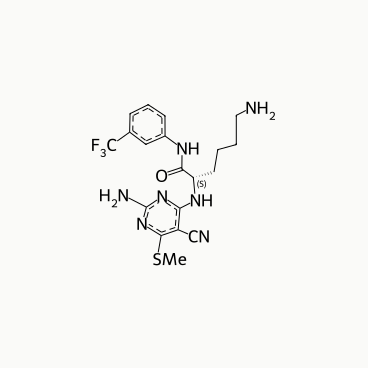 CSc1nc(N)nc(N[C@@H](CCCCN)C(=O)Nc2cccc(C(F)(F)F)c2)c1C#N